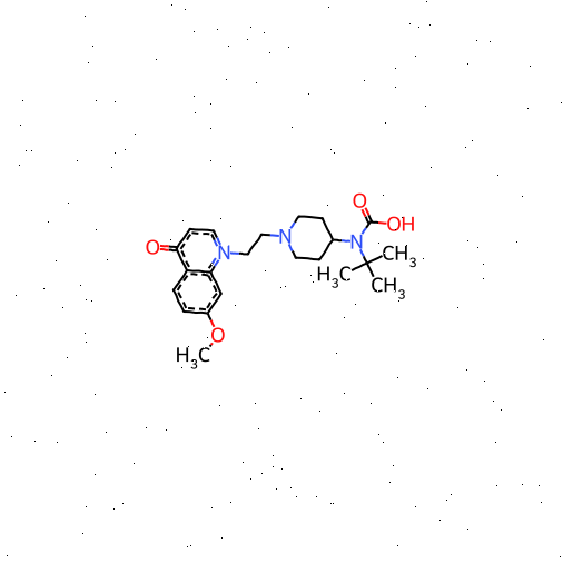 COc1ccc2c(=O)ccn(CCN3CCC(N(C(=O)O)C(C)(C)C)CC3)c2c1